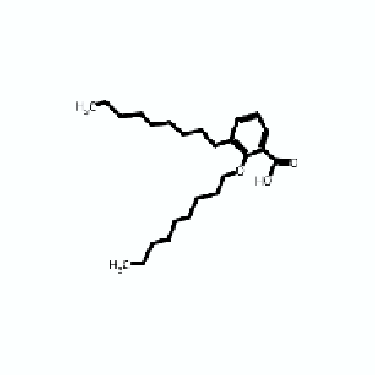 CCCCCCCCCOc1c(CCCCCCCCC)cccc1C(=O)O